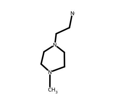 CN1CCN(CC[N])CC1